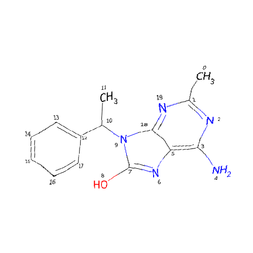 Cc1nc(N)c2nc(O)n(C(C)c3ccccc3)c2n1